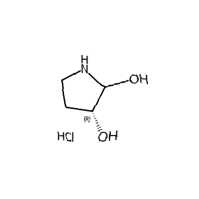 Cl.OC1NCC[C@H]1O